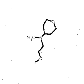 CN(CCOI)C1CCOCC1